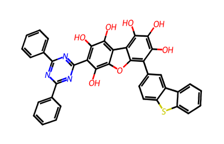 Oc1c(O)c(O)c2c(oc3c(O)c(-c4nc(-c5ccccc5)nc(-c5ccccc5)n4)c(O)c(O)c32)c1-c1ccc2sc3ccccc3c2c1